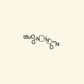 CN(C)/C=C1/CN(C2(C)CCN(C(=O)OC(C)(C)C)CC2)CC1=O